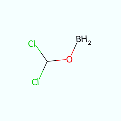 BOC(Cl)Cl